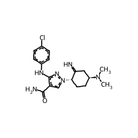 CN(C)[C@H]1CC[C@H](n2cc(C(N)=O)c(Nc3ccc(Cl)cc3)n2)C(=N)C1